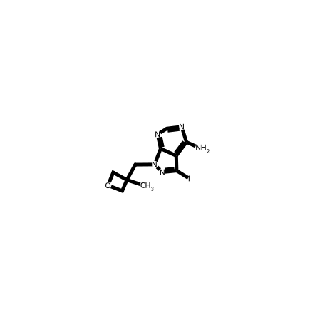 CC1(Cn2nc(I)c3c(N)ncnc32)COC1